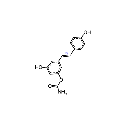 NC(=O)Oc1cc(O)cc(/C=C/c2ccc(O)cc2)c1